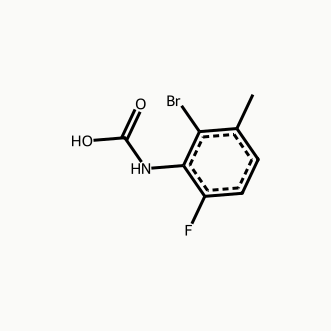 Cc1ccc(F)c(NC(=O)O)c1Br